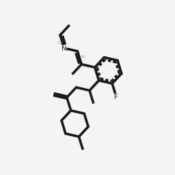 C=C(CC(C)c1c(F)cccc1/C(C)=C/N=C\C)C1CCC(C)CC1